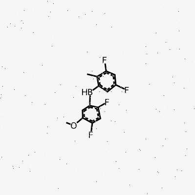 COc1cc(Bc2cc(F)cc(F)c2C)c(F)cc1F